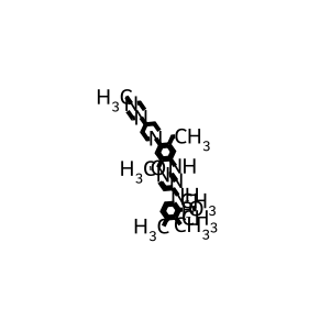 CCc1cc(Nc2nccc(Nc3ccc(C)c(C)c3P(C)(C)=O)n2)c(OC)cc1N1CCC(N2CCN(C)CC2)CC1